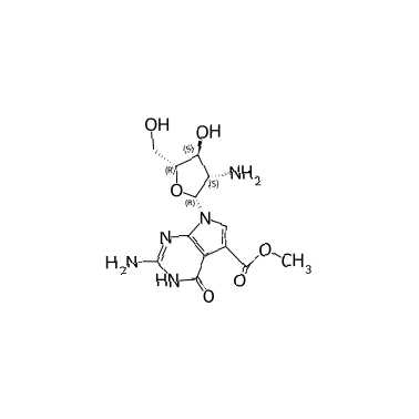 COC(=O)c1cn([C@@H]2O[C@H](CO)[C@@H](O)[C@@H]2N)c2nc(N)[nH]c(=O)c12